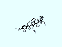 Cc1ccc(NC(=O)c2c(C)c(C(=O)C(=O)NC(C)(CO)CO)c3n2CCC3)cc1Cl